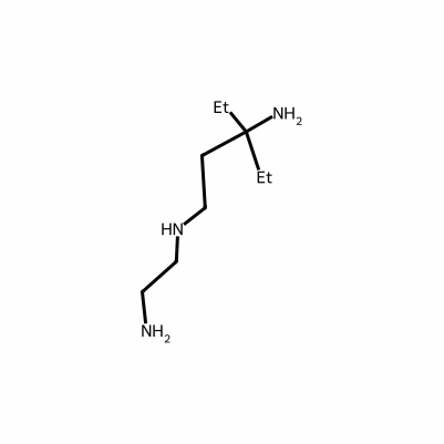 CCC(N)(CC)CCNCCN